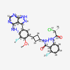 COc1c(F)cc(-c2n[nH]c3ncnc(N)c23)cc1C1CC(NC(=O)c2c(F)cccc2NC(=O)[C@@H](C)Cl)C1